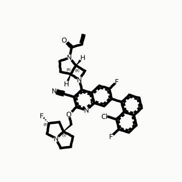 C=CC(=O)N1CC[C@@H]2[C@H]1CN2c1c(C#N)c(OC[C@@]23CCCN2C[C@H](F)C3)nc2cc(-c3cccc4ccc(F)c(Cl)c34)c(F)cc12